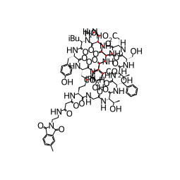 CC[C@H](C)[C@H](NC(=O)[C@H](CO)NC(=O)[C@H](CCc1ccc(O)cc1)NC(=O)[C@H](CC(=O)O)NC(=O)[C@H](CO)NC(=O)[C@@H](NC(=O)[C@H](Cc1ccccc1)NC(=O)[C@@H](NC(=O)CNC(=O)[C@H](CCC(=O)O)NC(=O)CC(=O)NCCN1C(=O)c2ccc(C)cc2C1=O)[C@@H](C)O)[C@@H](C)O)C(=O)N[C@@H](Cc1ccc(O)cc1)C(=O)N[C@@H](CC(C)C)C(=O)N[C@@H](CC(=O)O)C(=O)N[C@H](C)CCCCN